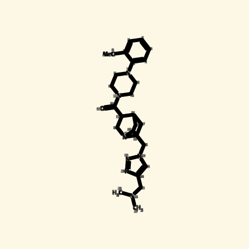 COc1ccccc1N1CCN(C(=O)C2CN3CCC2CC3Cn2cc(CN(C)C)nn2)CC1